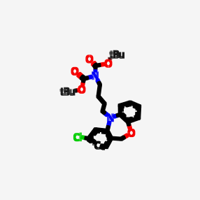 CC(C)(C)OC(=O)N(CCCCN1c2cc(Cl)ccc2COc2ccccc21)C(=O)OC(C)(C)C